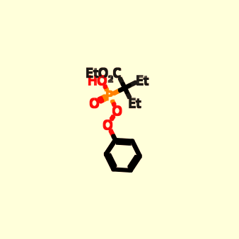 CCOC(=O)C(CC)(CC)P(=O)(O)OOc1ccccc1